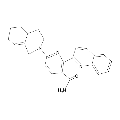 NC(=O)c1ccc(N2CCC3CCCC=C3C2)nc1-c1ccc2ccccc2n1